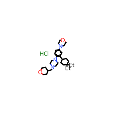 CCC1(CC)CCC(c2cc(N3CCOCC3)ccc2N2CCN(CC3CCOCC3)CC2)CC1.Cl